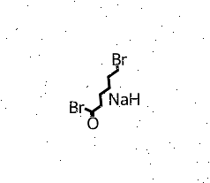 O=C(Br)CCCCCBr.[NaH]